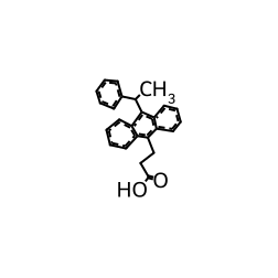 CC(c1ccccc1)c1c2ccccc2c(CCC(=O)O)c2ccccc12